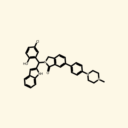 CN1CCN(c2ccc(-c3ccc4c(c3)C(=O)N(C(c3cc5ccccc5[nH]3)c3cc(Cl)ccc3O)C4)cc2)CC1